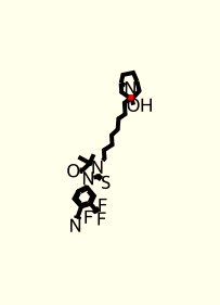 CC1(C)C(=O)N(c2ccc(C#N)c(C(F)(F)F)c2)C(=S)N1CCCCCCCCCN1C2CCC1CC(O)C2